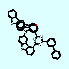 c1ccc(-c2cccc(-c3nc(-c4cccc(-c5ccccc5)c4)nc(-c4cccc5sc6ccc(-n7c8ccccc8c8cc9c(cc87)sc7ccccc79)cc6c45)n3)c2)cc1